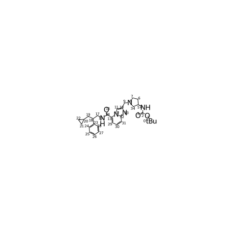 CC(C)(C)OC(=O)N[C@@H]1CCN(Cc2cn3c(C(=O)NCC(CC4CC4)c4ccccc4)cccc3n2)C1